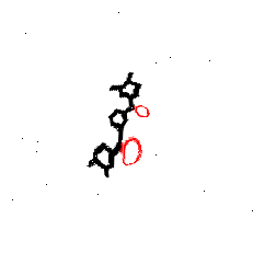 Cc1ccc(C(=O)c2cccc(C(=O)c3ccc(C)c(C)c3)c2)cc1C